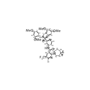 COc1ccc(CN(Cc2ccc(OC)cc2OC)S(=O)(=O)c2cc(NC(=O)c3cc(C(F)(F)F)c(C)nc3N3CCCC(F)(F)CC3)ccn2)c(OC)c1